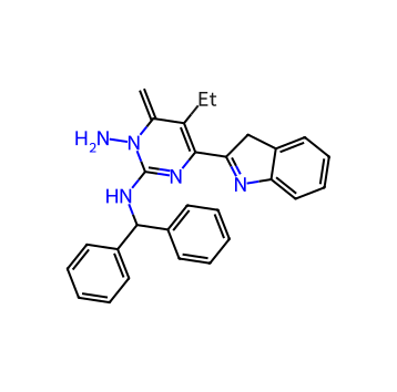 C=C1C(CC)=C(C2=Nc3ccccc3C2)N=C(NC(c2ccccc2)c2ccccc2)N1N